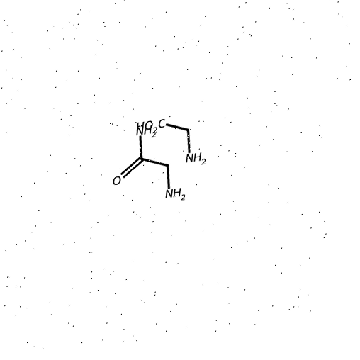 NCC(=O)O.NCC(N)=O